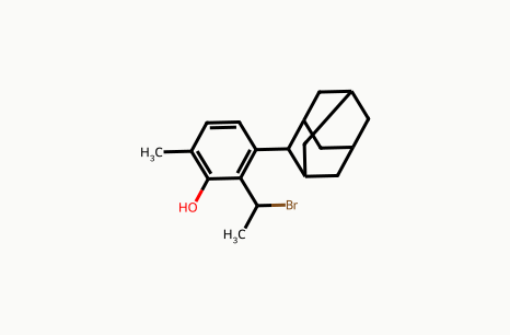 Cc1ccc(C2C3CC4CC(C3)CC2C4)c(C(C)Br)c1O